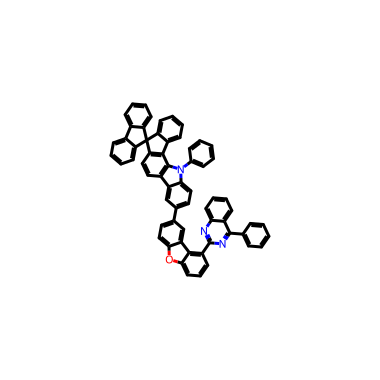 c1ccc(-c2nc(-c3cccc4oc5ccc(-c6ccc7c(c6)c6ccc8c(c6n7-c6ccccc6)-c6ccccc6C86c7ccccc7-c7ccccc76)cc5c34)nc3ccccc23)cc1